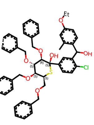 CCOc1ccc(C(O)c2cc([C@]3(O)S[C@@H](COCc4ccccc4)[C@@H](OCc4ccccc4)[C@H](OCc4ccccc4)[C@H]3OCc3ccccc3)ccc2Cl)c(C)c1